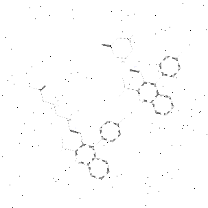 CN(C)c1nc2ccccc2c(-c2ccc(F)cc2)c1/C=C/[C@H](O)C[C@H](O)CC(=O)O.CN(C)c1nc2ccccc2c(-c2ccc(F)cc2)c1/C=C/[C@H]1C[C@H](O)CC(=O)O1